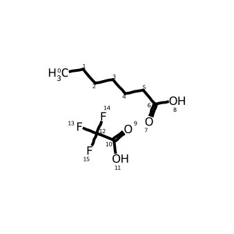 CCCCCCC(=O)O.O=C(O)C(F)(F)F